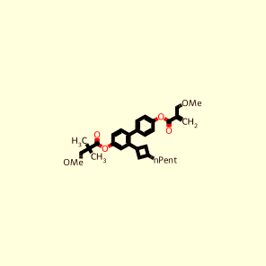 C=C(COC)C(=O)Oc1ccc(-c2ccc(OC(=O)C(C)(C)COC)cc2C2CC(CCCCC)C2)cc1